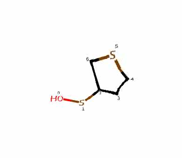 OSC1CCSC1